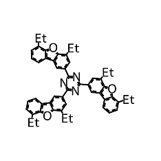 CCc1cccc2c1oc1c(CC)cc(-c3nc(-c4cc(CC)c5oc6c(CC)cccc6c5c4)nc(-c4cc(CC)c5oc6c(CC)cccc6c5c4)n3)cc12